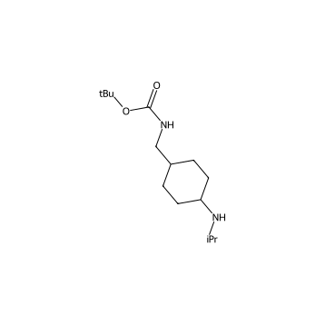 CC(C)NC1CCC(CNC(=O)OC(C)(C)C)CC1